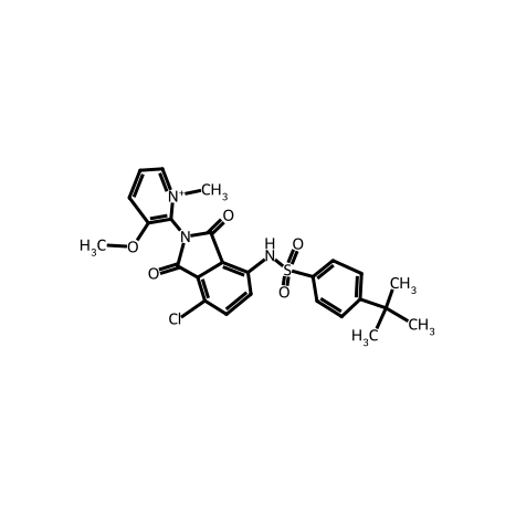 COc1ccc[n+](C)c1N1C(=O)c2c(Cl)ccc(NS(=O)(=O)c3ccc(C(C)(C)C)cc3)c2C1=O